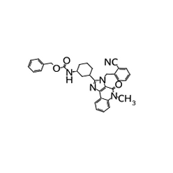 Cn1c(=O)c2c(nc(C3CCC[C@H](NC(=O)OCc4ccccc4)C3)n2Cc2ccccc2C#N)c2ccccc21